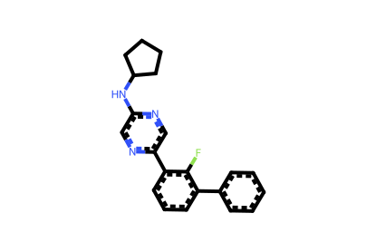 Fc1c(-c2ccccc2)cccc1-c1cnc(NC2CCCC2)cn1